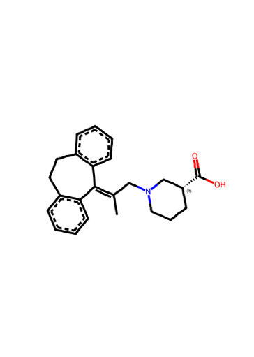 CC(CN1CCC[C@@H](C(=O)O)C1)=C1c2ccccc2CCc2ccccc21